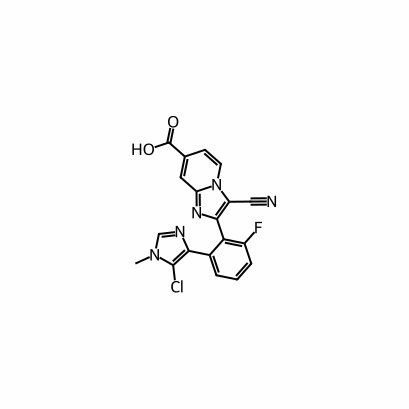 Cn1cnc(-c2cccc(F)c2-c2nc3cc(C(=O)O)ccn3c2C#N)c1Cl